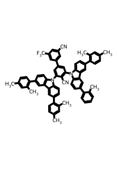 Cc1ccc(-c2ccc3c(c2)c2cc(-c4ccccc4C)ccc2n3-c2cc(-c3cc(C#N)cc(C(F)(F)F)c3)cc(-n3c4ccc(-c5ccc(C)cc5C)cc4c4cc(-c5ccc(C)cc5C)ccc43)c2C#N)c(C)c1